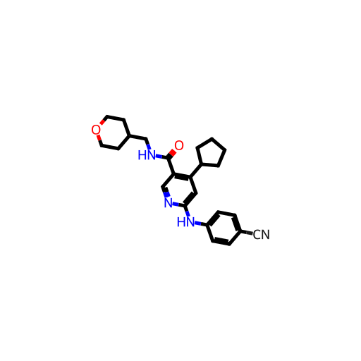 N#Cc1ccc(Nc2cc(C3CCCC3)c(C(=O)NCC3CCOCC3)cn2)cc1